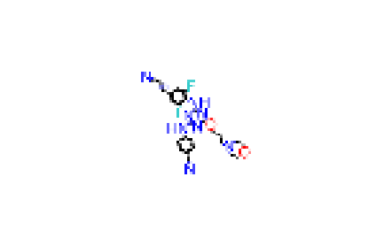 N#C/C=C/c1cc(F)c(Nc2nc(Nc3ccc(C#N)cc3)nc(OCCCN3CCOCC3)n2)c(F)c1